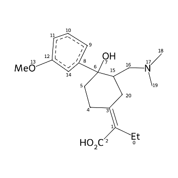 CC/C(C(=O)O)=C1/CCC(O)(c2cccc(OC)c2)C(CN(C)C)C1